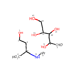 CCCNC(CCO)C(=O)O.O=CC(O)C(O)C(O)CO